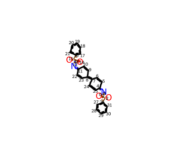 O=S(=O)(N=C1C=CC(=C2C=CC(=NS(=O)(=O)c3ccccc3)C=C2)C=C1)c1ccccc1